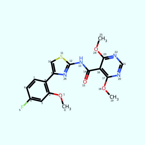 COc1cc(F)ccc1-c1csc(NC(=O)c2c(OC)ncnc2OC)n1